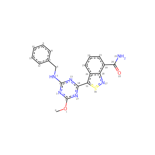 COc1nc(NCc2ccccc2)nc(-c2snc3c(C(N)=O)cccc23)n1